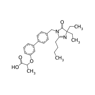 CCCCC1=NC(CC)(CC)C(=O)N1Cc1ccc(-c2cccc(OC(C)C(=O)O)c2)cc1